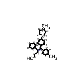 Cc1ccc(/C(=C(\CCCO)c2ccccc2)c2ccc(N3CCN(C)CC3)cc2)cc1